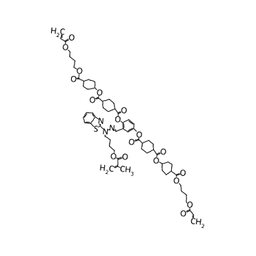 C=CC(=O)OCCCCOC(=O)C1CCC(OC(=O)C2CCC(C(=O)Oc3ccc(OC(=O)C4CCC(C(=O)OC5CCC(C(=O)OCCCCOC(=O)C=C)CC5)CC4)c(/C=N/N(CCCCOC(=O)C(=C)C)c4nc5ccccc5s4)c3)CC2)CC1